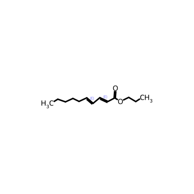 CCCCC/C=C/C=C/C(=O)OCCC